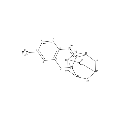 FC(F)(F)c1ccc2c(c1)CN1C(=N2)C2CC3CC(C2)CC1C3